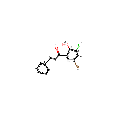 O=C(C=Cc1ccccc1)c1cc(Br)cc(Cl)c1O